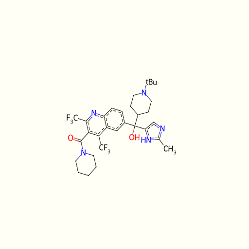 Cc1ncc(C(O)(c2ccc3nc(C(F)(F)F)c(C(=O)N4CCCCC4)c(C(F)(F)F)c3c2)C2CCN(C(C)(C)C)CC2)[nH]1